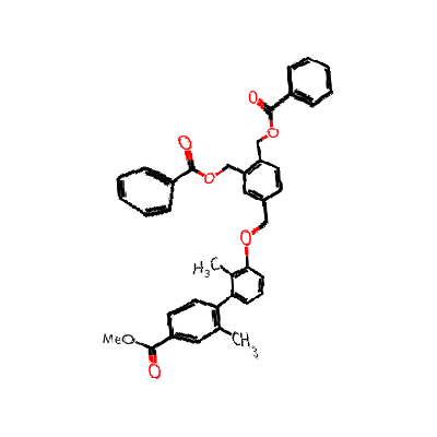 COC(=O)c1ccc(-c2cccc(OCc3ccc(COC(=O)c4ccccc4)c(COC(=O)c4ccccc4)c3)c2C)c(C)c1